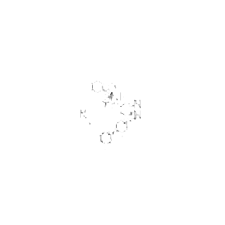 O=C(NS(=O)(=O)c1ccccc1)C1=CC2=NC=NC2(Cc2ccc(-c3ccccc3)cc2)C=C1.[K][CH]1CC1